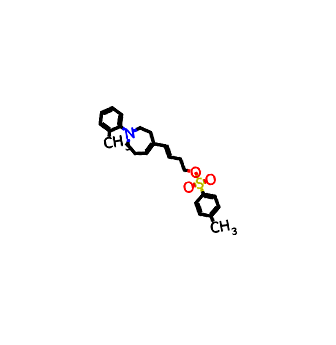 Cc1ccc(S(=O)(=O)OCCC=CC2=CCCN(c3ccccc3C)CC2)cc1